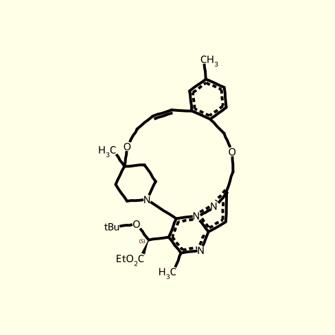 CCOC(=O)[C@@H](OC(C)(C)C)c1c(C)nc2cc3nn2c1N1CCC(C)(CC1)OCC=Cc1cc(C)ccc1COC3